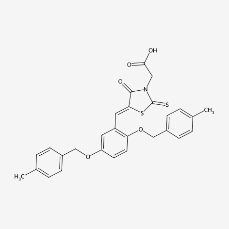 Cc1ccc(COc2ccc(OCc3ccc(C)cc3)c(/C=C3\SC(=S)N(CC(=O)O)C3=O)c2)cc1